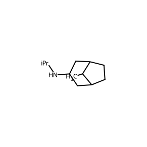 CC(C)NC1CC2CCC(C1)C2C